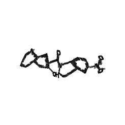 O=C(c1cc2ncccc2cc1O)N1CCc2cc([N+](=O)[O-])ccc21